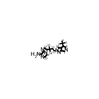 CC(C)(C)c1cncc2nn(CCC(C)(C)c3cnc4c(N)nccn34)cc12